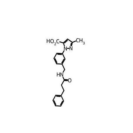 Cc1cc(C(=O)O)n(-c2cccc(CNC(=O)CCc3ccccc3)c2)n1